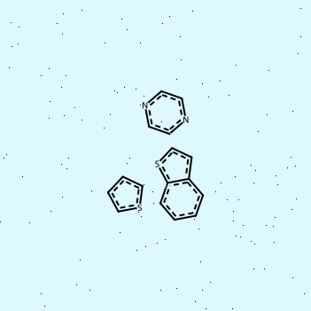 c1ccc2sccc2c1.c1ccsc1.c1cnccn1